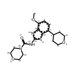 COc1ccc(C2CCOCC2)c2sc(NC(=O)N3CCOCC3)nc12